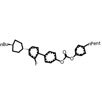 CCCCCc1ccc(OC(=O)Oc2ccc(-c3ccc([C@H]4CC[C@H](CCCC)CC4)cc3F)cc2)cc1